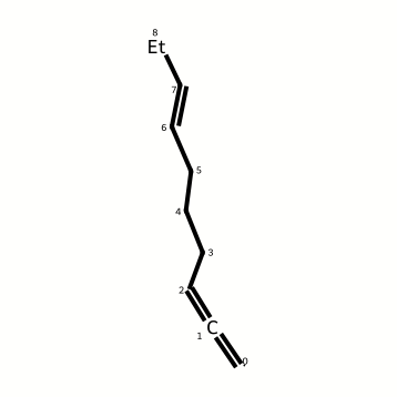 [CH]=C=CCCCC=CCC